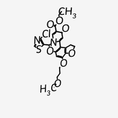 CCOC(=O)c1cn2c(cc1=O)-c1c(cc(OCCCOC)c3c1CCO3)OC2c1scnc1Cl